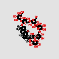 C[C@H](CC[C@@H](O[C@@H]1O[C@H](CO[C@@H]2O[C@H](CO)[C@@H](O)[C@H](O)[C@H]2O)[C@@H](O)[C@H](O)[C@H]1O[C@H]1O[C@@H](CO)[C@H](O)[C@@H](O)[C@@H]1O)C(C)(C)O)C1CC[C@@]2(C)C3CC=C4C(CC[C@H](O[C@@H]5O[C@H](CO[C@@H]6O[C@H](CO)[C@@H](O)[C@H](O)[C@H]6O)[C@@H](O)[C@H](O)[C@H]5O[C@H]5O[C@@H](CO)[C@H](O)[C@@H](O)[C@@H]5O)C4(C)C)[C@]3(C)C(=O)C[C@]12C